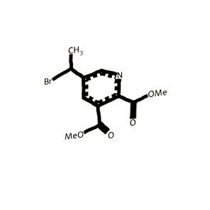 COC(=O)c1cc(C(C)Br)cnc1C(=O)OC